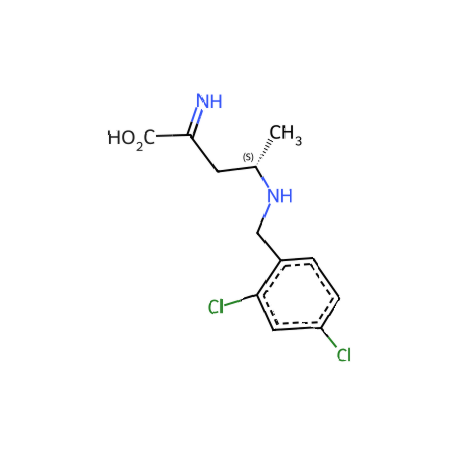 C[C@@H](CC(=N)C(=O)O)NCc1ccc(Cl)cc1Cl